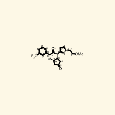 COCCn1ccc(NC(=O)[C@H](C[C@H]2CCC(=O)C2)c2cccc(C(F)(F)F)c2)n1